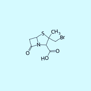 CC1(CBr)SC2CC(=O)N2C1C(=O)O